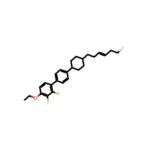 CCOc1ccc(-c2ccc(C3CCC(CC/C=C/CCF)CC3)cc2)c(F)c1F